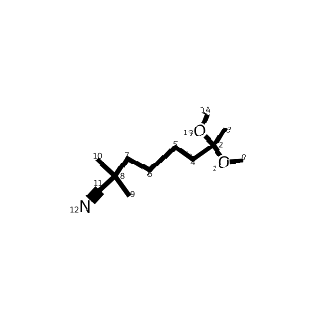 COC(C)(CCCCC(C)(C)C#N)OC